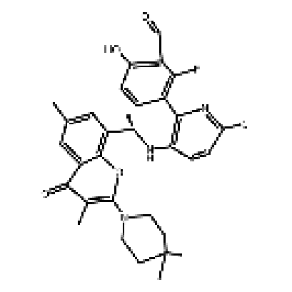 Cc1cc([C@@H](C)Nc2ccc(Cl)nc2-c2ccc(O)c(C=O)c2F)c2oc(N3CCC(C)(C)CC3)c(C)c(=O)c2c1